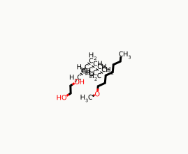 C=C.C=C.C=C.C=C.C=C.CCCCCCCOC.OCCO